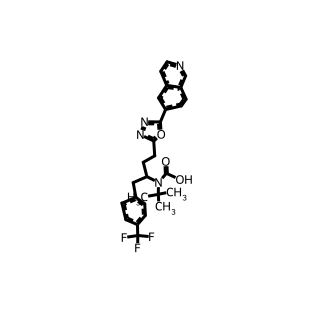 CC(C)(C)N(C(=O)O)C(CCc1nnc(-c2ccc3cnccc3c2)o1)Cc1ccc(C(F)(F)F)cc1